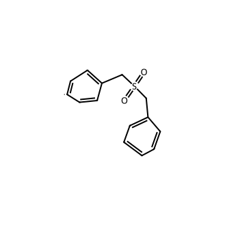 O=S(=O)(Cc1cc[c]cc1)Cc1ccccc1